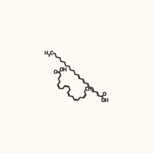 CC/C=C\C/C=C\C/C=C\C/C=C\C/C=C\CCCC(=O)O.CCCCCCCCCCC/C=C/C=C/C=C/C=C/C=C/C(=O)O